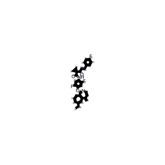 C=C1C=CN=C(Oc2cc(F)c(NC(=O)C3(C(=O)/C=C/c4ccc(F)cc4)CC3)cc2F)C2=C1C=C(CC)C=C=C2